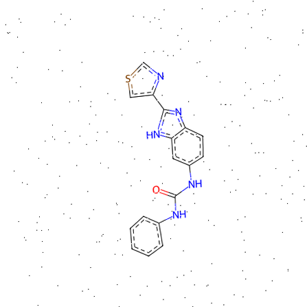 O=C(Nc1ccccc1)Nc1ccc2nc(-c3cscn3)[nH]c2c1